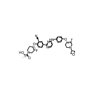 C[C@H](O)C(=O)N1CC[C@H](Oc2ccc(-c3nccc(Nc4ccc(O[C@H]5CCN(C6COC6)C[C@H]5F)cc4)n3)cc2C#N)[C@H](F)C1